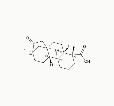 C[C@]12CC[C@@H]3[C@](CC[C@H]4[C@@]3(S)CCC[C@@]4(C)C(=O)O)(CC1=O)C2